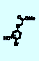 COC(=O)COc1ccc(Br)[n+](O)c1